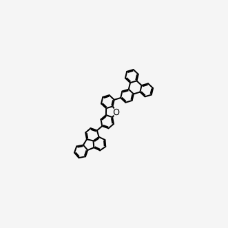 c1ccc2c(c1)-c1cccc3c(-c4ccc5oc6c(-c7ccc8c9ccccc9c9ccccc9c8c7)cccc6c5c4)ccc-2c13